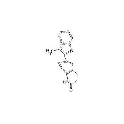 Cc1c(-c2ccc3c(c2)CCC(=O)N3)nc2ccccn12